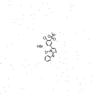 Br.CN(C)S(=O)(=O)c1cc(-c2cs/c(=N/c3ccccc3)n2C2CC2)ccc1Cl